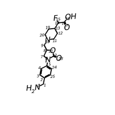 NCc1ccc(N2CC(CN3CCC(C(F)C(=O)O)CC3)OC2=O)cc1